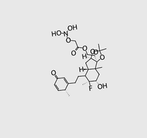 C[C@@H]1C=CC(=O)C=C1CCC1[C@@H]2C[C@H]3OC(C)(C)O[C@@]3(C(=O)COC(=O)CON(O)O)C2(C)C[C@H](O)[C@@]1(C)F